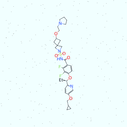 CC[C@@H](Oc1ccc(C(=O)NS(=O)(=O)N2CC3(CC(OCCN4CCCC4)C3)C2)c(F)c1F)c1ccc(OCC2CC2)cn1